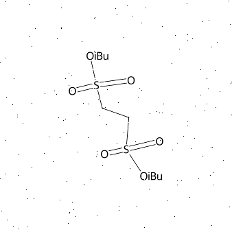 CC(C)COS(=O)(=O)CCS(=O)(=O)OCC(C)C